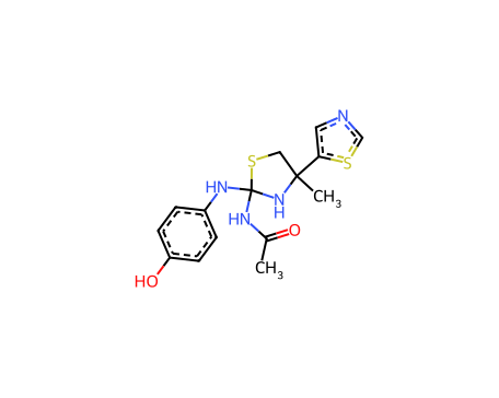 CC(=O)NC1(Nc2ccc(O)cc2)NC(C)(c2cncs2)CS1